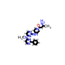 CC(N)CC(=O)N1CCC(Nc2nccc(N(C)c3ccnc(-c4ccccc4)n3)n2)CC1